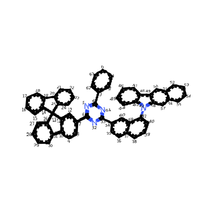 c1ccc(-c2nc(-c3ccc4c(c3)C3(c5ccccc5-c5ccccc53)c3ccccc3-4)nc(-c3ccc4cccc(-n5c6ccccc6c6cc7ccccc7cc65)c4c3)n2)cc1